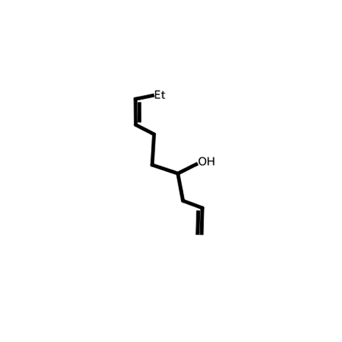 C=CCC(O)CC/C=C\CC